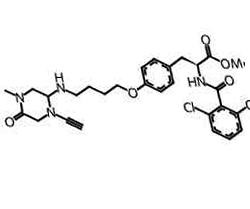 C#CN1CC(=O)N(C)CC1NCCCCOc1ccc(C[C@H](NC(=O)c2c(Cl)cccc2Cl)C(=O)OC)cc1